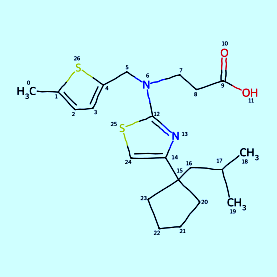 Cc1ccc(CN(CCC(=O)O)c2nc(C3(CC(C)C)CCCC3)cs2)s1